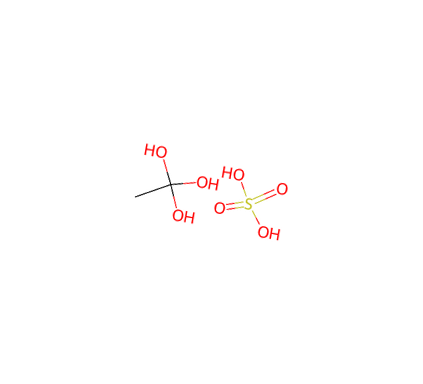 CC(O)(O)O.O=S(=O)(O)O